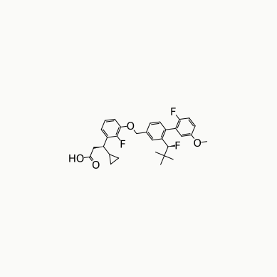 COc1ccc(F)c(-c2ccc(COc3cccc([C@H](CC(=O)O)C4CC4)c3F)cc2[C@@H](F)C(C)(C)C)c1